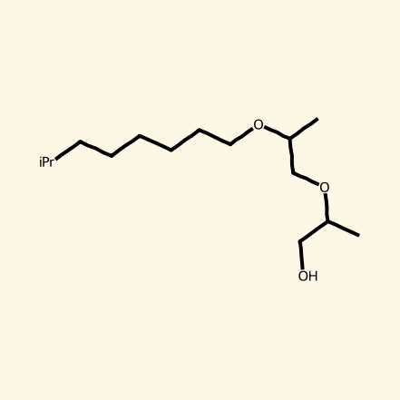 CC(C)CCCCCCOC(C)COC(C)CO